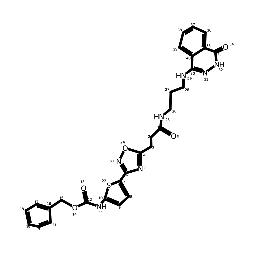 O=C(CCc1nc(-c2ccc(NC(=O)OCc3ccccc3)s2)no1)NCCCNc1n[nH]c(=O)c2ccccc12